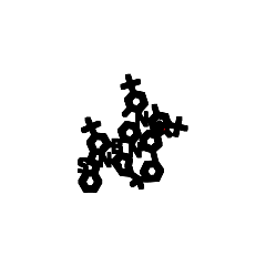 Cc1cc(C(C)(C)C)ccc1N(c1ccc2c(c1)N1c3ccc(C(C)(C)C)cc3-c3ccc(cc3)C(C)(C)c3cc1c1c(c3)-n3c4c(cc(C(C)(C)C)cc4c4sc5ccccc5c43)B21)c1ccc(C(C)(C)C)cc1C